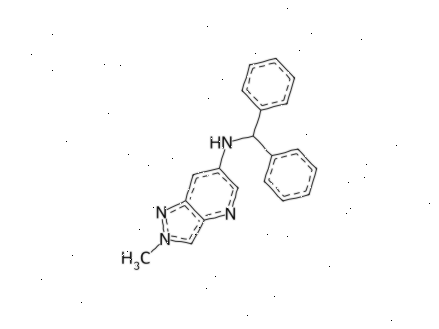 Cn1cc2ncc(NC(c3ccccc3)c3ccccc3)cc2n1